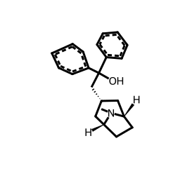 CN1[C@@H]2CC[C@H]1C[C@@H](CC(O)(c1ccccc1)c1ccccc1)C2